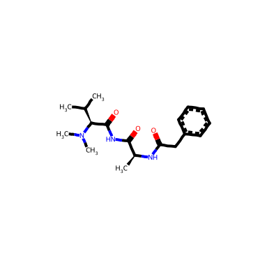 CC(C)[C@@H](C(=O)NC(=O)[C@H](C)NC(=O)Cc1ccccc1)N(C)C